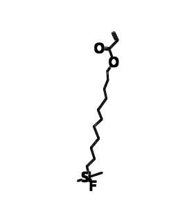 C=CC(=O)OCCCCCCCCCCC[Si](C)(C)F